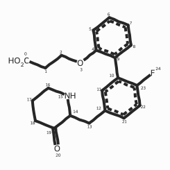 O=C(O)CCOc1ccccc1-c1cc(CC2NCCCC2=O)ccc1F